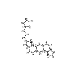 c1cc2ccc3cc4c(ccc5cc(CCCC6CCCC6)sc54)cc3c2s1